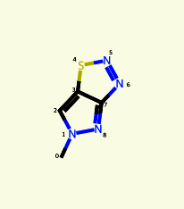 Cn1cc2snnc2n1